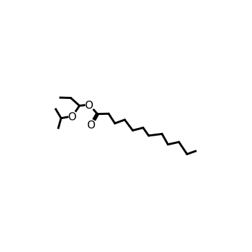 CCCCCCCCCCCC(=O)OC(CC)OC(C)C